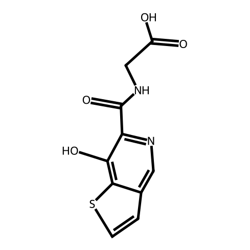 O=C(O)CNC(=O)c1ncc2ccsc2c1O